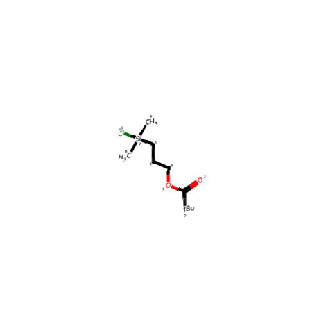 CC(C)(C)C(=O)OCCC[Si](C)(C)Cl